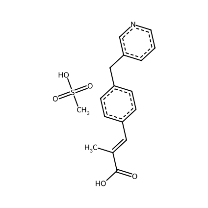 C/C(=C\c1ccc(Cc2cccnc2)cc1)C(=O)O.CS(=O)(=O)O